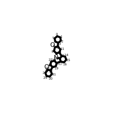 c1ccc2c(c1)oc1cc3c(cc12)c1cccc2c4cc5c(cc4n3c12)oc1ccccc15